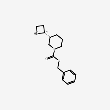 O=C(OCc1ccccc1)N1CCCC([C@H]2CCN2)C1